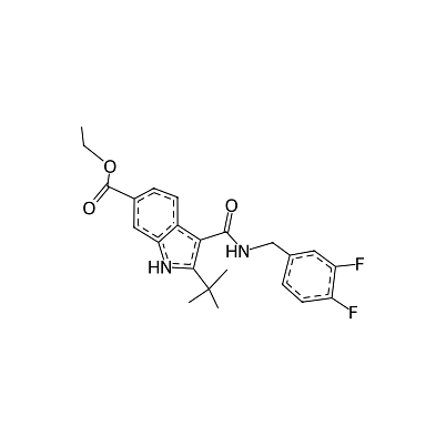 CCOC(=O)c1ccc2c(C(=O)NCc3ccc(F)c(F)c3)c(C(C)(C)C)[nH]c2c1